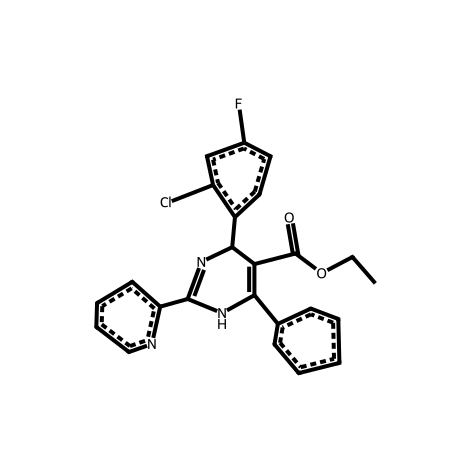 CCOC(=O)C1=C(c2ccccc2)NC(c2ccccn2)=NC1c1ccc(F)cc1Cl